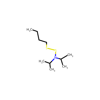 CCCCSSN(C(C)C)C(C)C